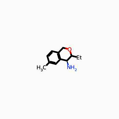 CCC1OCc2ccc(C)cc2[C@@H]1N